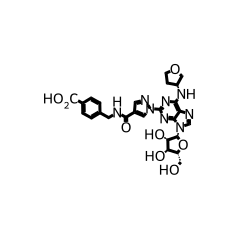 O=C(O)c1ccc(CNC(=O)c2cnn(-c3nc(N[C@@H]4CCOC4)c4ncn([C@@H]5O[C@H](CO)[C@@H](O)[C@@H]5O)c4n3)c2)cc1